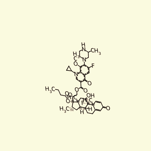 CCCC(=O)O[C@@]1(C(=O)COC(=O)c2cn(C3CC3)c3c(OC)c(N4CCNC(C)C4)c(F)cc3c2=O)[C@@H](C)C[C@@H]2[C@H]3CCC4=CC(=O)C=C[C@@]4(C)[C@]3(F)[C@H](O)C[C@]21C